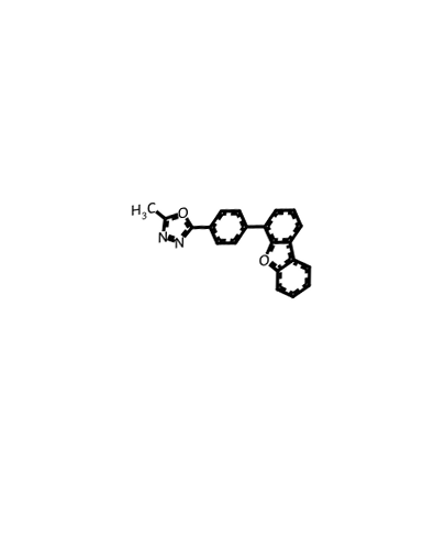 Cc1nnc(-c2ccc(-c3cccc4c3oc3ccccc34)cc2)o1